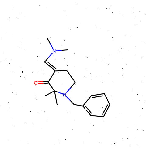 CN(C)C=C1CCN(Cc2ccccc2)C(C)(C)C1=O